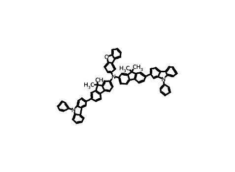 CC1(C)c2cc(-c3ccc4c(c3)c3ccccc3n4-c3ccccc3)ccc2-c2ccc(N(c3ccc4c(c3)C(C)(C)c3cc(-c5ccc6c7ccccc7n(-c7ccccc7)c6c5)ccc3-4)c3ccc4oc5ccccc5c4c3)cc21